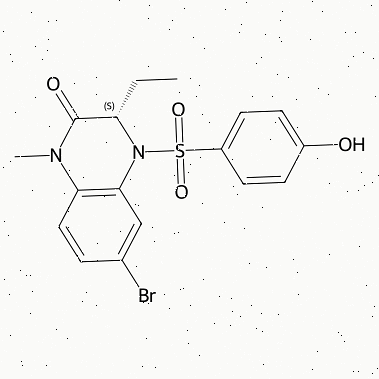 CC[C@H]1C(=O)N(C)c2ccc(Br)cc2N1S(=O)(=O)c1ccc(O)cc1